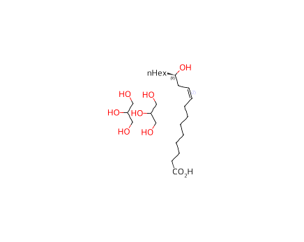 CCCCCC[C@@H](O)C/C=C\CCCCCCCC(=O)O.OCC(O)CO.OCC(O)CO